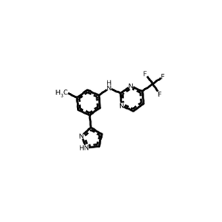 Cc1cc(Nc2nccc(C(F)(F)F)n2)cc(-c2cc[nH]n2)c1